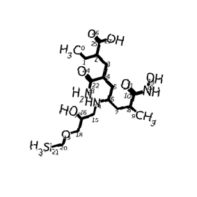 CCC(CC(CC(CC(C)C(=O)NO)NCC(O)COC[SiH3])C(N)=O)C(=O)O